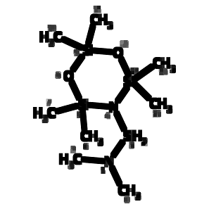 CN(C)[SiH2]N1[Si](C)(C)O[Si](C)(C)O[Si]1(C)C